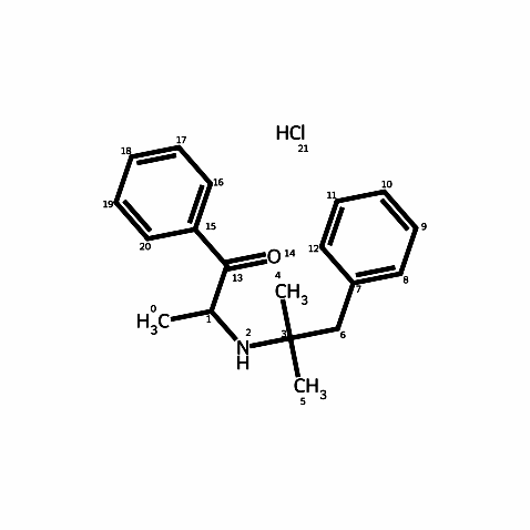 CC(NC(C)(C)Cc1ccccc1)C(=O)c1ccccc1.Cl